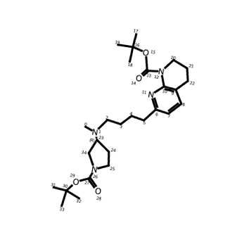 CN(CCCCc1ccc2c(n1)N(C(=O)OC(C)(C)C)CCC2)[C@@H]1CCN(C(=O)OC(C)(C)C)C1